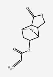 C=CC(=O)OC1CC2CCC1C1COC(=O)C21